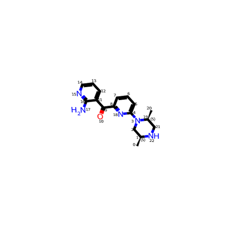 C[C@H]1CN(c2cccc(C(=O)c3cccnc3N)n2)[C@@H](C)CN1